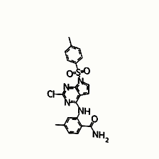 Cc1ccc(S(=O)(=O)n2ccc3c(Nc4cc(C)ccc4C(N)=O)nc(Cl)nc32)cc1